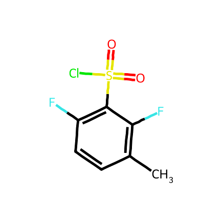 Cc1ccc(F)c(S(=O)(=O)Cl)c1F